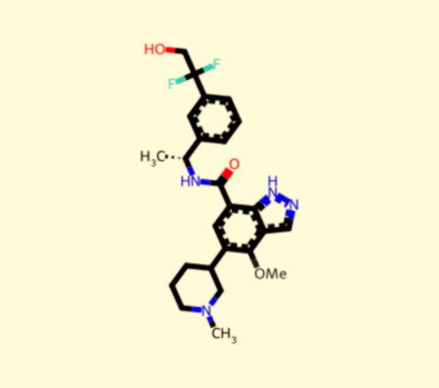 COc1c(C2CCCN(C)C2)cc(C(=O)N[C@H](C)c2cccc(C(F)(F)CO)c2)c2[nH]ncc12